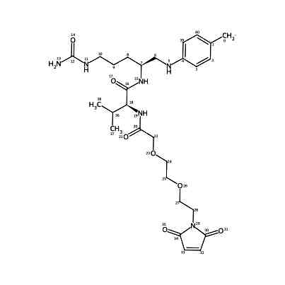 [CH2]c1ccc(NC[C@H](CCCNC(N)=O)NC(=O)[C@@H](NC(=O)COCCOCCN2C(=O)C=CC2=O)C(C)C)cc1